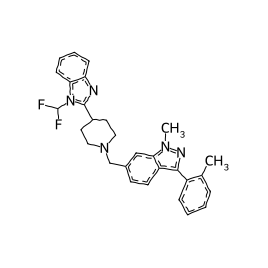 Cc1ccccc1-c1nn(C)c2cc(CN3CCC(c4nc5ccccc5n4C(F)F)CC3)ccc12